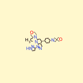 CC1COCCN1c1cc(-c2ccc(N3CC4(COC4)C3)cc2)c2cnn(-c3cc[nH]n3)c2n1